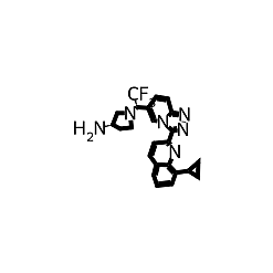 N[C@H]1CCN([C@@H](c2ccc3nnc(-c4ccc5cccc(C6CC6)c5n4)n3c2)C(F)(F)F)C1